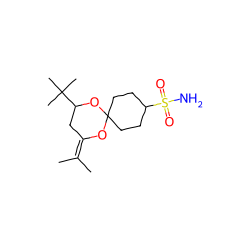 CC(C)=C1CC(C(C)(C)C)OC2(CCC(S(N)(=O)=O)CC2)O1